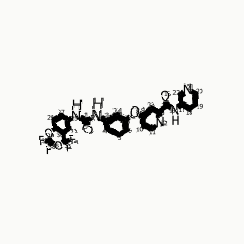 O=C(Nc1cccc(Oc2ccnc(C(=O)Nc3cccnc3)c2)c1)Nc1ccc2c(c1)C(F)(F)OC(F)(F)O2